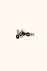 Cc1nc(-c2ccc(O)cc2)cnc1NC(=O)Cc1ccccc1